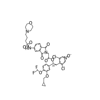 O=C(CN1C(=O)c2ccc(NS(=O)(=O)CCCN3CCOCC3)cc2C1=O)O[C@@H](Cc1c(Cl)c[n+]([O-])cc1Cl)c1ccc(OC(F)F)c(OCC2CC2)c1